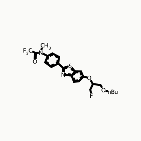 CCCCOCC(CF)Oc1ccc2nc(-c3ccc(N(C)C(=O)C(F)(F)F)cc3)sc2c1